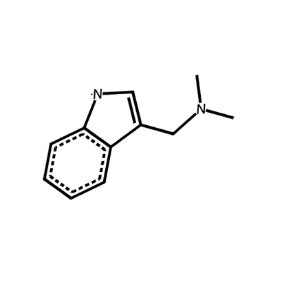 CN(C)CC1=C[N]c2ccccc21